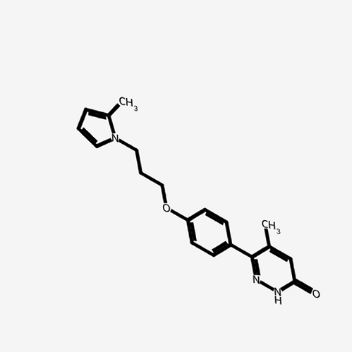 Cc1cc(=O)[nH]nc1-c1ccc(OCCCn2cccc2C)cc1